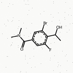 CC(O)c1c(F)cc(C(=O)N(C)C)cc1Br